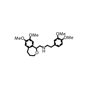 COc1ccc(CCNCC2OCCCc3cc(OC)c(OC)cc32)cc1OC